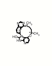 C[C@@H]1CCN(C)c2ncnc3ccc(nc23)N2c3c(ccnc3NC2O)O1